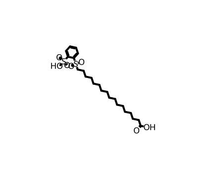 O=C(O)CCCCCCCCCCCCCCCCS(=O)(=O)c1ccccc1S(=O)(=O)O